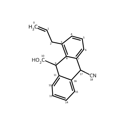 C=CCc1cccc2c1C(C(=O)O)c1ccccc1C2C#N